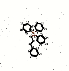 c1ccc(CCCS(c2ccccc2)(c2ccccc2)c2ccccc2)cc1